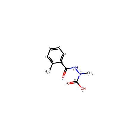 Cc1ccccc1C(=O)NN(C)C(=O)O